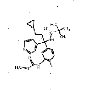 COC(=O)Nc1cc(C(CCC2CC2)(N[S@+]([O-])C(C)(C)C)c2ccncc2)ccc1F